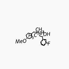 COC1CCC(CC(C)(C)NC[C@H](O)c2cccc(F)c2)CC1